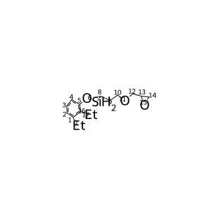 CCc1cccc(O[SiH2]CCCOCC2CO2)c1CC